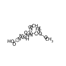 COCCCOc1ccc(C2N=C(NC(=O)c3cnc(N4CCC(C(=O)O)CC4)cn3)SC2CN2CCC[C@H]2C)cc1C(F)(F)F